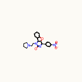 O=c1nc(-c2ccc([N+](=O)[O-])cc2)c2oc3ccccc3c2n1CCN1CCCC1